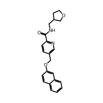 O=C(NCC1CCOC1)c1ccc(COc2ccc3ccccc3c2)cn1